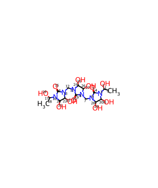 CC(O)N1C(=O)N(CN2C(=O)N(CN3C(=O)N(C(C)O)C(O)C3O)C(O)C2O)C(O)C1O